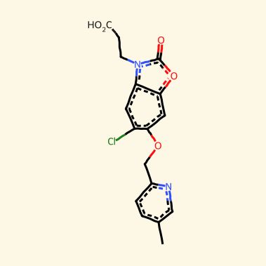 Cc1ccc(COc2cc3oc(=O)n(CCC(=O)O)c3cc2Cl)nc1